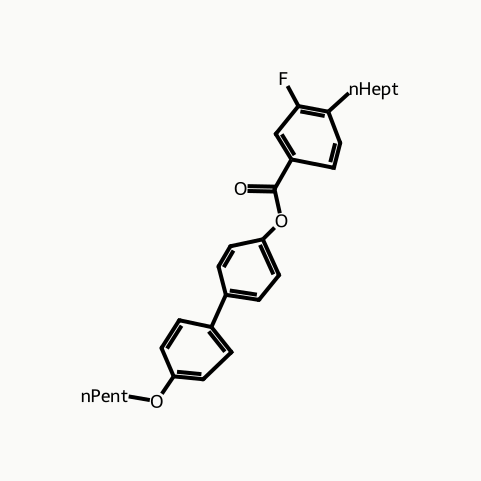 CCCCCCCc1ccc(C(=O)Oc2ccc(-c3ccc(OCCCCC)cc3)cc2)cc1F